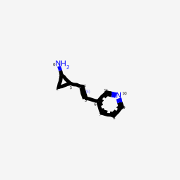 NC1CC1/C=C/c1cccnc1